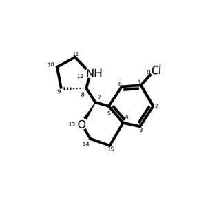 Clc1ccc2c(c1)[C@H]([C@@H]1CCCN1)OCC2